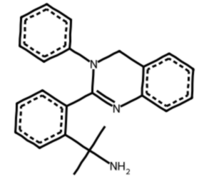 CC(C)(N)c1ccccc1C1=Nc2ccccc2CN1c1ccccc1